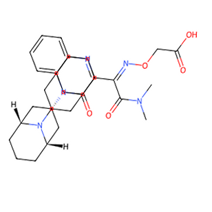 CN(C)C(=O)C(=NOCC(=O)O)c1nc2ccccc2n([C@H]2C[C@H]3CCC[C@@H](C2)N3C2CC3CCCC(C3)C2)c1=O